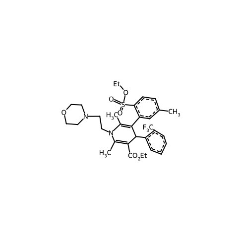 CCOC(=O)C1=C(C)N(CCN2CCOCC2)C(C)=C(c2cc(C)ccc2S(=O)(=O)OCC)C1c1ccccc1C(F)(F)F